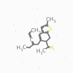 CC=C=C(CC)CC1=Cc2cc(C)sc2CC1C(C)=S